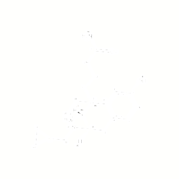 C[C@H]1[C@H]2Cc3ccc(O)cc3[C@]1(CCCC(N)=O)CCN2CC1CC1